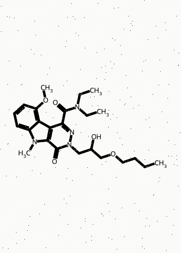 CCCCOCC(O)Cn1nc(C(=O)N(CC)CC)c2c3c(OC)cccc3n(C)c2c1=O